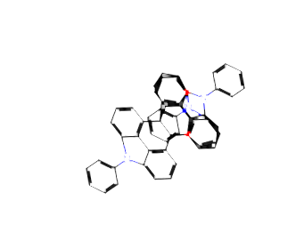 c1ccc(-n2c3cccc4c3c3c(cccc32)C23c5cccc6c5c5c(cccc5n6-c5ccccc5)C42c2cccc4c2c2c3cccc2n4-c2ccccc2)cc1